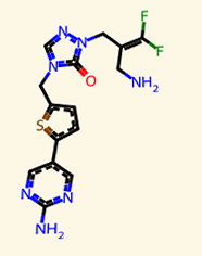 NCC(Cn1ncn(Cc2ccc(-c3cnc(N)nc3)s2)c1=O)=C(F)F